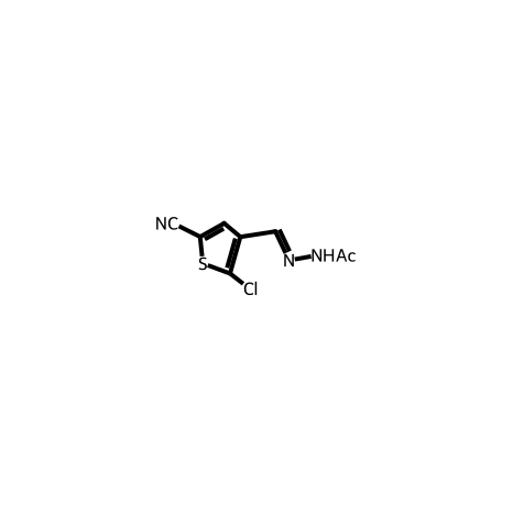 CC(=O)N/N=C/c1cc(C#N)sc1Cl